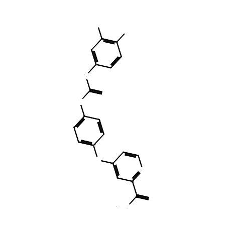 CNC(=O)c1cc(Oc2ccc(NC(=O)Nc3ccc(Cl)c(C)c3)cc2)ccn1